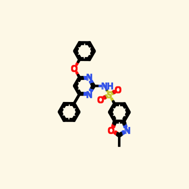 Cc1nc2ccc(S(=O)(=O)Nc3nc(Oc4ccccc4)cc(-c4ccccc4)n3)cc2o1